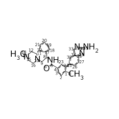 Cc1ccc(C(=O)NC(CN2CCN(C)CC2)c2ccccc2)cc1-c1ccc2nc(N)ncc2c1